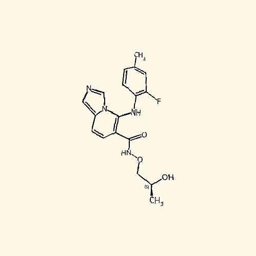 Cc1ccc(Nc2c(C(=O)NOC[C@H](C)O)ccc3cncn23)c(F)c1